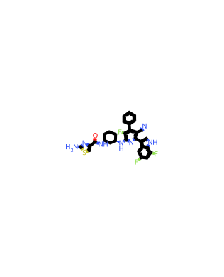 N#Cc1c(-c2c[nH]c3c(F)cc(F)cc23)nc(N[C@@H]2CCC[C@H](NC(=O)c3csc(N)n3)C2)c(F)c1-c1ccccc1